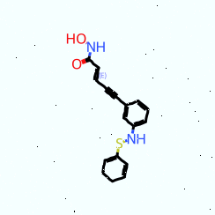 O=C(/C=C/C#Cc1cccc(NSC2=CCCC=C2)c1)NO